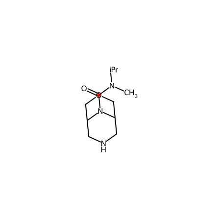 CC(C)N(C)C(=O)N1C2CNCC1COC2